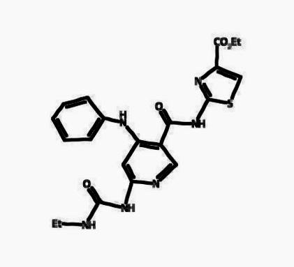 CCNC(=O)Nc1cc(Nc2ccccc2)c(C(=O)Nc2nc(C(=O)OCC)cs2)cn1